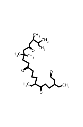 CCC(CC=O)CCC(=O)C(CC)CCCC(=O)CCC(C)(C)CC(=O)CC(C)C(C)C